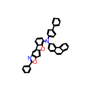 c1ccc(-c2ccc(N(c3ccc4ccc5ccccc5c4c3)c3cccc4c3oc3cc5oc(-c6ccccc6)nc5cc34)cc2)cc1